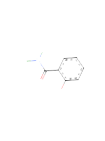 O=C(c1ccccc1O)N(Cl)Cl